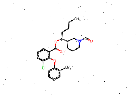 CCCC[C@H](OC(O)c1cccc(Cl)c1Oc1ccccc1C)[C@@H]1CCCN(C=O)C1